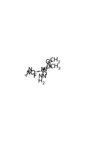 C=CC(=O)N1C[C@@H](n2nc(C#Cc3cc4ncn(C5CC5)c4cc3F)c3c(N)nccc32)C[C@@H]1C